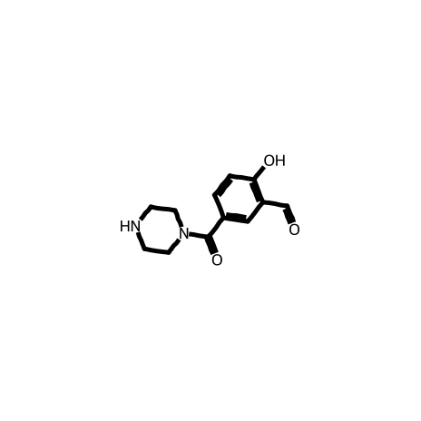 O=Cc1cc(C(=O)N2CCNCC2)ccc1O